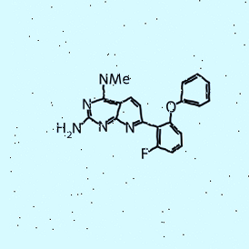 CNc1nc(N)nc2nc(-c3c(F)cccc3Oc3ccccc3)ccc12